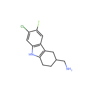 NCC1CCc2[nH]c3cc(Cl)c(F)cc3c2C1